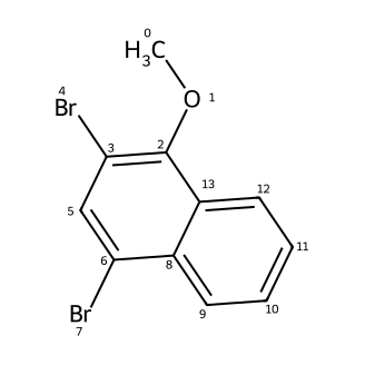 COc1c(Br)cc(Br)c2ccccc12